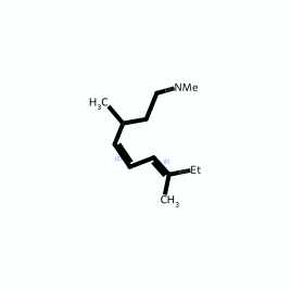 CC/C(C)=C/C=C\C(C)CCNC